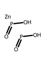 O=PO.O=PO.[Zn]